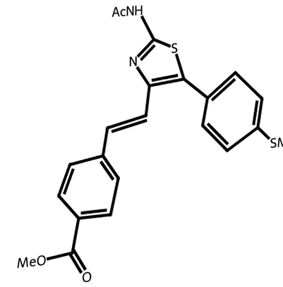 COC(=O)c1ccc(C=Cc2nc(NC(C)=O)sc2-c2ccc(SC)cc2)cc1